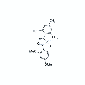 CCP(=O)(C(=O)c1ccc(OC)cc1OC)C(=O)c1c(C)cc(C)cc1C